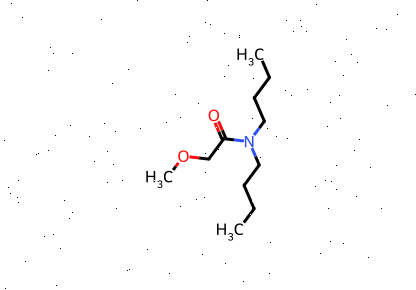 CCCCN(CCCC)C(=O)COC